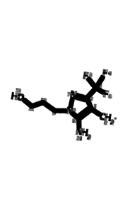 [CH2]c1c(C(F)(F)F)nn(CCCO)c1N